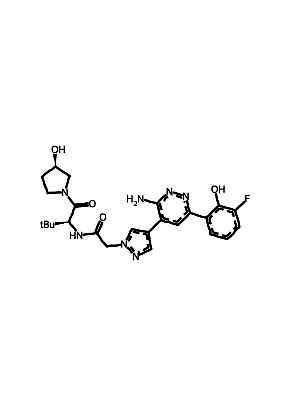 CC(C)(C)[C@H](NC(=O)Cn1cc(-c2cc(-c3cccc(F)c3O)nnc2N)cn1)C(=O)N1CC[C@@H](O)C1